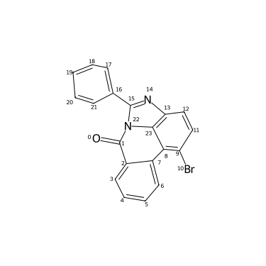 O=c1c2ccccc2c2c(Br)ccc3nc(-c4ccccc4)n1c32